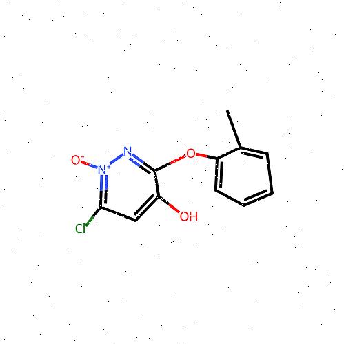 Cc1ccccc1Oc1n[n+]([O-])c(Cl)cc1O